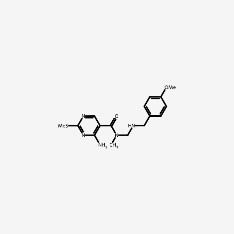 COc1ccc(CNCN(C)C(=O)c2cnc(SC)nc2N)cc1